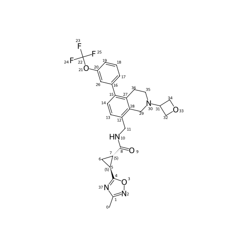 Cc1noc([C@H]2C[C@@H]2C(=O)NCc2ccc(-c3cccc(OC(F)(F)F)c3)c3c2CN(C2COC2)CC3)n1